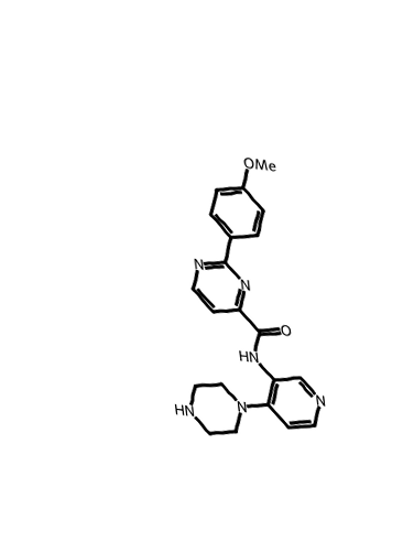 COc1ccc(-c2nccc(C(=O)Nc3cnccc3N3CCNCC3)n2)cc1